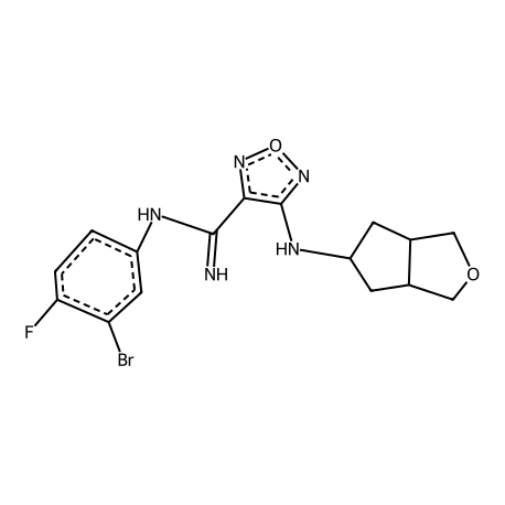 N=C(Nc1ccc(F)c(Br)c1)c1nonc1NC1CC2COCC2C1